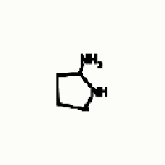 NC1CC[CH]N1